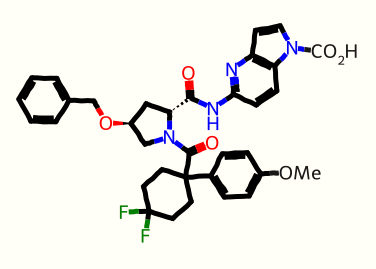 COc1ccc(C2(C(=O)N3C[C@@H](OCc4ccccc4)C[C@@H]3C(=O)Nc3ccc4c(ccn4C(=O)O)n3)CCC(F)(F)CC2)cc1